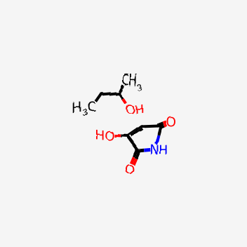 CCC(C)O.O=C1C=C(O)C(=O)N1